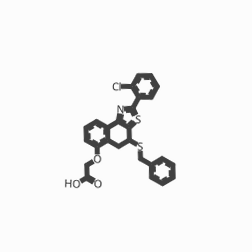 O=C(O)COc1cccc2c1CC(SCc1ccccc1)c1sc(-c3ccccc3Cl)nc1-2